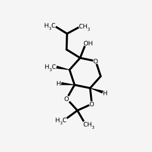 CC(C)CC1(O)OC[C@@H]2OC(C)(C)O[C@@H]2[C@H]1C